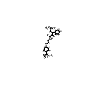 CN(C)Cc1c(C(=O)NCCOc2ccc(/C(N)=N/O)cc2)oc2ccccc12